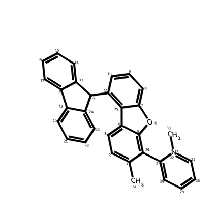 Cc1ccc2c(oc3cccc(C4c5ccccc5-c5ccccc54)c32)c1-c1cccc[n+]1C